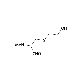 CNC(C=O)CSCCO